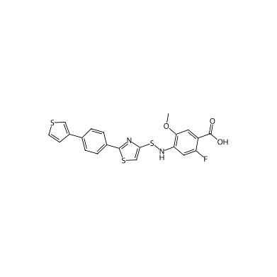 COc1cc(C(=O)O)c(F)cc1NSc1csc(-c2ccc(-c3ccsc3)cc2)n1